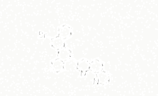 Brc1cc2c3ccccc3c(-c3cnc4c(ccc5cccnc54)c3)cc2c2ccccc12